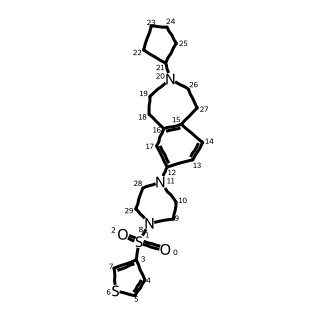 O=S(=O)(c1ccsc1)N1CCN(c2ccc3c(c2)CCN(C2CCCC2)CC3)CC1